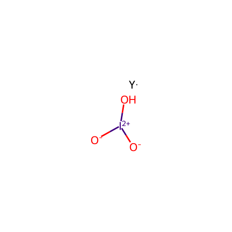 [O-][I+2]([O-])O.[Y]